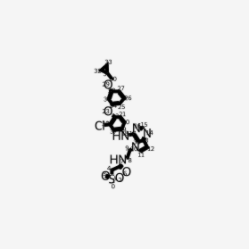 CS(=O)(=O)CC(=O)NCCn1ccc2ncnc(Nc3ccc(Oc4cccc(OCC5CC5)c4)c(Cl)c3)c21